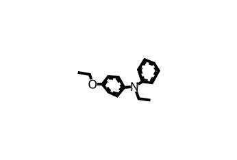 CCOc1ccc(N(CC)c2ccccc2)cc1